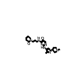 Cc1nn(C2CCN(C)CC2)cc1Nc1ncc(Cl)c(NCCCN2CCCCC2=O)n1